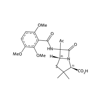 COc1ccc(OC)c(C(=O)NC2(C(C)=O)C(=O)N3[C@@H](C(=O)O)C(C)(C)S[C@@H]32)c1OC